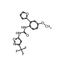 COc1ccc(NC(=O)Nc2cc(C(F)(F)F)no2)c(-c2ccco2)c1